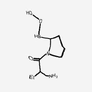 CCC(N)C(=O)N1CCCC1BOO